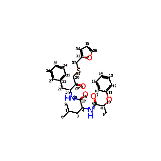 CC(C)CC(NC(=O)[C@H](C)Oc1ccccc1)C(=O)N[C@@H](Cc1ccccc1)C(=O)CSCc1ccco1